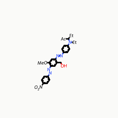 CCC(C(C)=O)N(CC)c1ccc(N=Nc2cc(OC)c(N=Nc3ccc([N+](=O)[O-])cc3)cc2CO)cc1